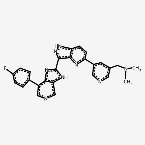 CN(C)Cc1cncc(-c2ccc3[nH]nc(-c4nc5c(-c6ccc(F)cc6)cncc5[nH]4)c3n2)c1